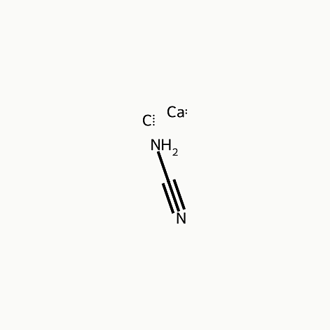 N#CN.[C].[Ca]